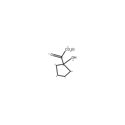 CCOC(=O)C(=O)C1(O)CCCC1